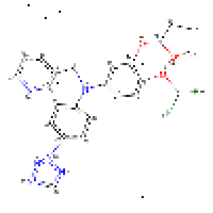 FC(F)Oc1ccc(N(Cc2cccnc2)c2ccc(-n3ncnn3)cc2)cc1OC1CCCO1